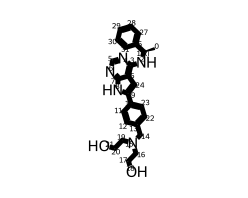 C[C@@H](Nc1ncnc2[nH]c(-c3ccc(CN(CCO)CCO)cc3)cc12)c1ccccc1